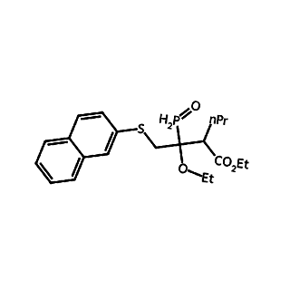 CCCC(C(=O)OCC)C(CSc1ccc2ccccc2c1)(OCC)[PH2]=O